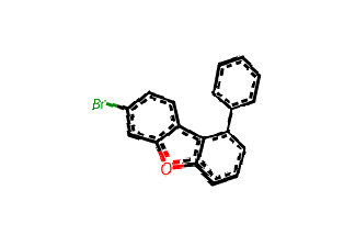 Brc1ccc2c(c1)oc1cccc(-c3ccccc3)c12